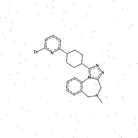 CCc1cccc(C2CCC(c3nnc4n3-c3ccccc3CN(C)C4)CC2)n1